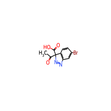 CC(=O)C1(C(=O)O)N=Nc2cc(Br)ccc21